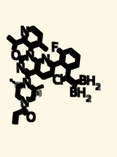 BC(B)=C(C)c1cccc(F)c1-c1nc2c(cc1Cl)c(N1[C@@H](C)CN(C(=O)C=C)C[C@@H]1C)nc(=O)n2-c1c(C)ccnc1C(C)C